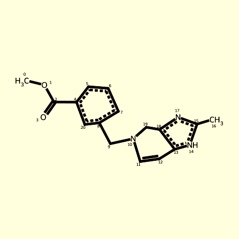 COC(=O)c1cccc(CN2C=Cc3[nH]c(C)nc3C2)c1